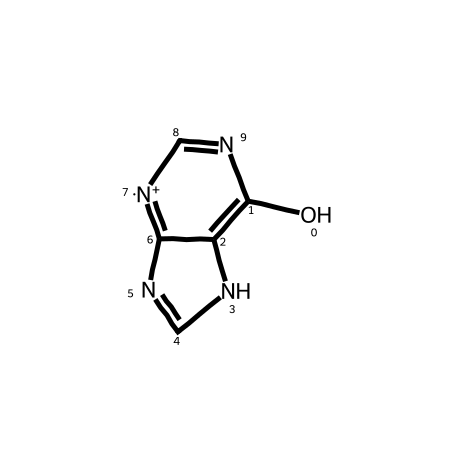 OC1=c2[nH]cnc2=[N+]C=N1